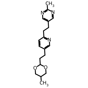 Cc1ncc(CCc2ccc(CCC3OCC(C)CO3)cn2)cn1